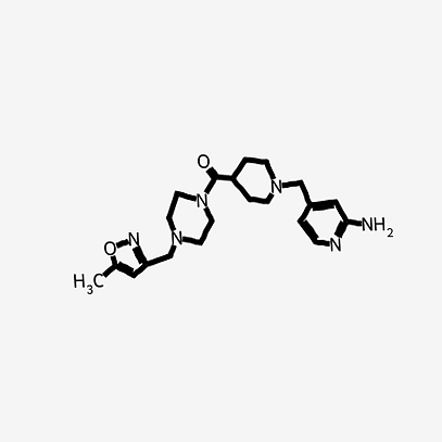 Cc1cc(CN2CCN(C(=O)C3CCN(Cc4ccnc(N)c4)CC3)CC2)no1